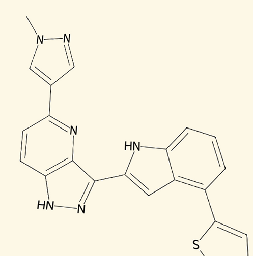 Cn1cc(-c2ccc3[nH]nc(-c4cc5c(-c6cccs6)cccc5[nH]4)c3n2)cn1